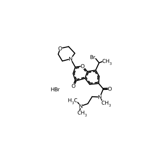 Br.CC(Br)c1cc(C(=O)N(C)CCN(C)C)cc2c(=O)cc(N3CCOCC3)oc12